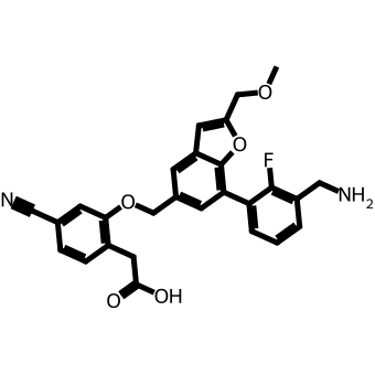 COCc1cc2cc(COc3cc(C#N)ccc3CC(=O)O)cc(-c3cccc(CN)c3F)c2o1